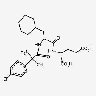 CC(C)(C(=O)N[C@@H](CC1CCCCC1)C(=O)N[C@H](CCC(=O)O)C(=O)O)c1ccc(Cl)cc1